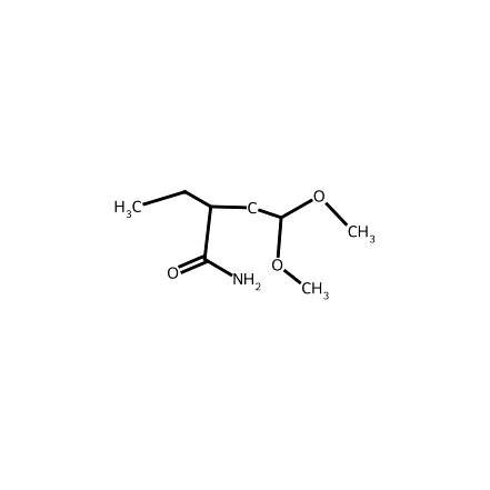 CCC(CC(OC)OC)C(N)=O